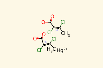 C/C(Cl)=C(\Cl)C(=O)[O-].C/C(Cl)=C(\Cl)C(=O)[O-].[Hg+2]